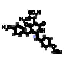 CCCCOc1ccc(/N=c2\[nH]c(=O)n(C[C@H](C)C(=O)O)c(=O)n2Cc2ccc(C)cc2)cc1